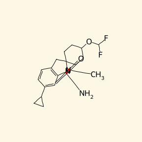 CN1C(=O)C2(N=C1N)c1cc(C3CC3)ccc1CC21CCC(OC(F)F)CC1